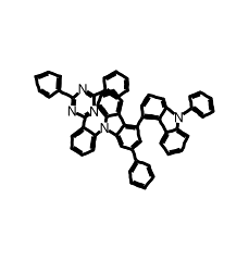 c1ccc(-c2cc(-c3cccc4c3c3ccccc3n4-c3ccccc3)c3c4ccccc4n(-c4ccccc4-c4nc(-c5ccccc5)nc(-c5ccccc5)n4)c3c2)cc1